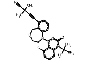 BC(B)(B)n1c(=O)nc(N2CCOCc3c(C#CC(C)(C)C#N)cccc32)c2c(F)cccc21